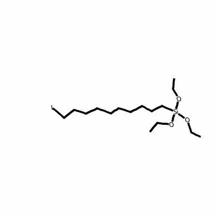 CCO[Si](CCCCCCCCCCI)(OCC)OCC